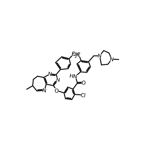 CC1C=Nc2c(nc(-c3ccc(O)cc3)nc2Oc2ccc(Cl)c(C(=O)Nc3ccc(CN4CCN(C)CC4)c(C(F)(F)F)c3)c2)CC1